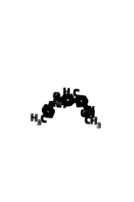 Cc1ccc(CNC(=O)c2ccc(-c3cc(-c4nnc(C)o4)ccc3C)cc2)cc1